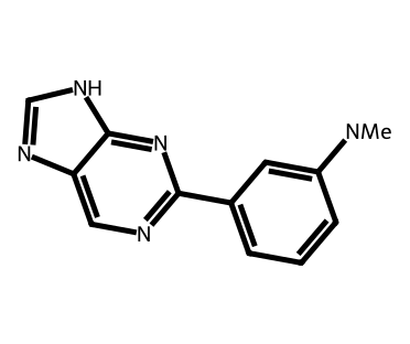 CNc1cccc(-c2ncc3nc[nH]c3n2)c1